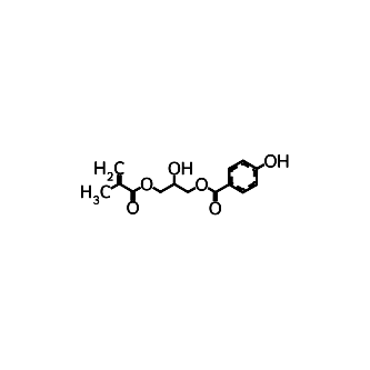 C=C(C)C(=O)OCC(O)COC(=O)c1ccc(O)cc1